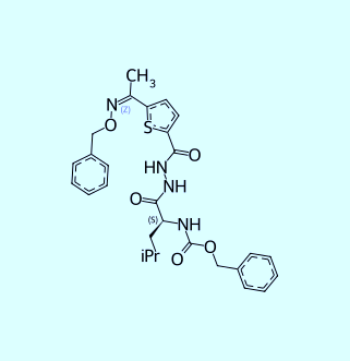 C/C(=N/OCc1ccccc1)c1ccc(C(=O)NNC(=O)[C@H](CC(C)C)NC(=O)OCc2ccccc2)s1